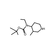 CCN(C(=O)OC(C)(C)C)C1CCNCC1C